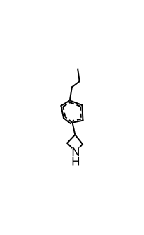 CCCc1ccc(C2CNC2)cc1